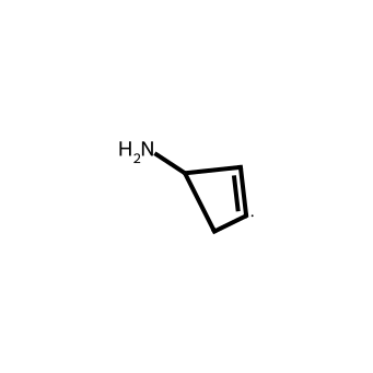 NC1C=[C]C1